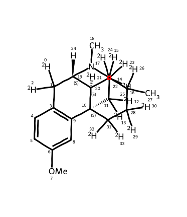 [2H]C1([2H])c2ccc(OC)cc2[C@@]23C([2H])([2H])C([2H])([2H])N(C)[C@@H]1[C@@]2([2H])C([2H])([2H])C([2H])(C)C([2H])([2H])C3([2H])[2H]